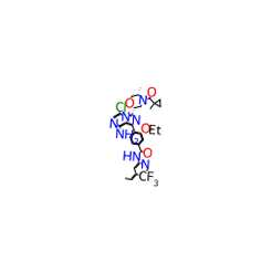 C=N/C(=C\C(=C/C)C(F)(F)F)NC(=O)c1ccc(-c2nc([C@H]3CN(C(=O)C4(C)CC4)[C@@H](C)CO3)n3c(Cl)cnc(N)c23)c(OCC)c1